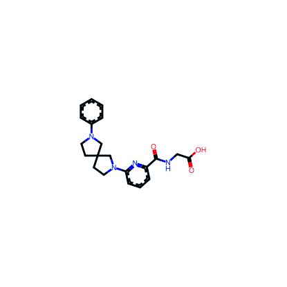 O=C(O)CNC(=O)c1cccc(N2CCC3(CCN(c4ccccc4)C3)C2)n1